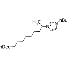 CCCCCCCCCCCCCCCCCC(C)[n+]1ccn(CCCC)c1